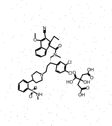 CCc1c(C#N)c(OC)c2ccccc2c1C(=O)N(C)C[C@@H](CCN1CCC(c2ccccc2S(=O)(=O)NC)CC1)c1ccc(Cl)c(Cl)c1.O=C(O)CC(O)(CC(=O)O)C(=O)O